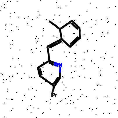 CC1C=CC=C/C1=C\c1ccc(C(C)C)cn1